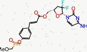 COC[PH](=O)Oc1ccc(C=CC(=O)OC[C@@H]2CC(F)(F)[C@H](n3ccc(N)nc3=O)O2)cc1